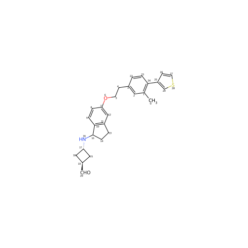 Cc1cc(CCOc2ccc3c(c2)CCC3N[C@H]2C[C@H](C=O)C2)ccc1-c1ccsc1